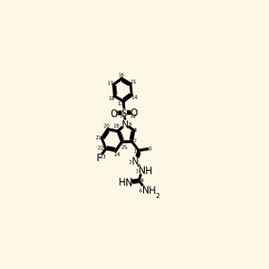 CC(=NNC(=N)N)c1cn(S(=O)(=O)c2ccccc2)c2ccc(F)cc12